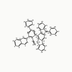 N#Cc1c(-c2ccc3ccccc3c2)nc(-c2ccccc2)nc1-c1c2sc3ccccc3c2cc2c1c1ccccc1n2-c1ccccc1